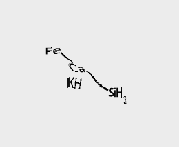 [KH].[SiH3][Ca][Fe]